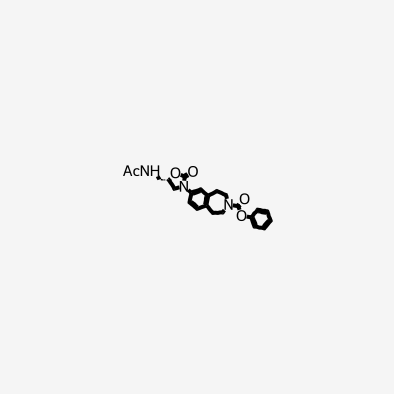 CC(=O)NC[C@H]1CN(c2ccc3c(c2)CCN(C(=O)Oc2ccccc2)CC3)C(=O)O1